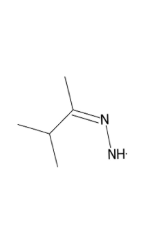 CC(=N[NH])C(C)C